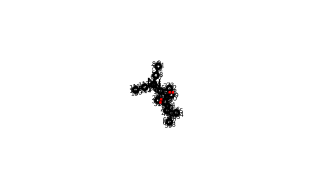 c1ccc(-c2ccc(-c3nc(-c4ccc(-c5ccccc5)cc4)nc(-c4cc(-c5ccccc5)c(-n5c6ccccc6c6c7sc8c9c(ccc8c7ccc65)C(c5ccccc5)c5ccccc5-9)c(-c5ccccc5)c4)n3)cc2)cc1